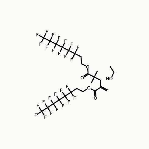 C=C(CC(C)(C)C(=O)OCCC(F)(F)C(F)(F)C(F)(F)C(F)(F)C(F)(F)C(F)(F)F)C(=O)OCCC(F)(F)C(F)(F)C(F)(F)C(F)(F)C(F)(F)C(F)(F)F.CCO